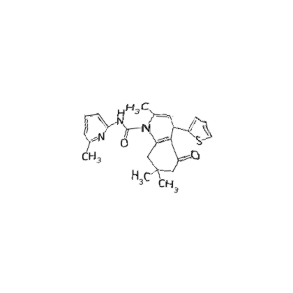 CC1=[C]C(c2cccs2)C2=C(CC(C)(C)CC2=O)N1C(=O)Nc1cccc(C)n1